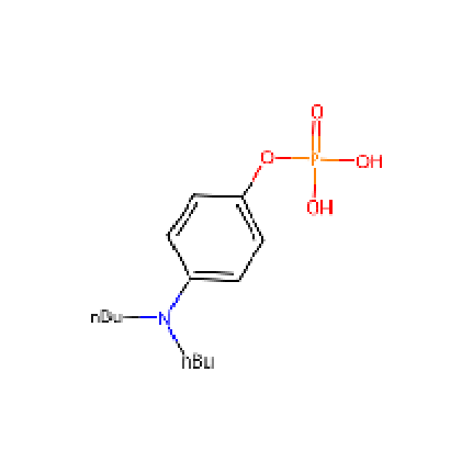 CCCCN(CCCC)c1ccc(OP(=O)(O)O)cc1